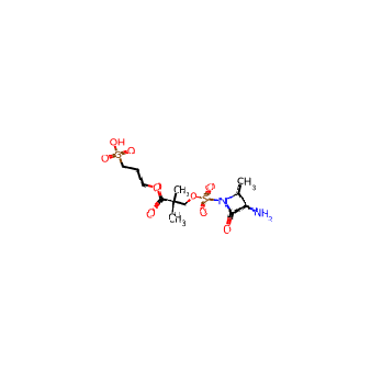 CC1C(N)C(=O)N1S(=O)(=O)OCC(C)(C)C(=O)OCCCS(=O)(=O)O